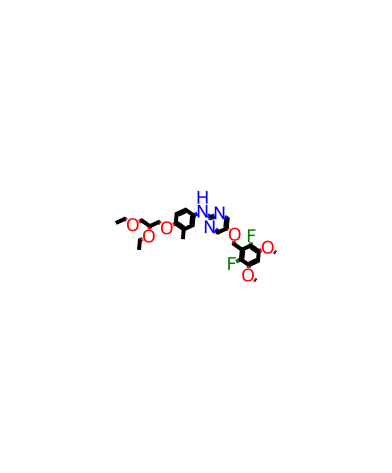 CCOCC(COc1ccc(Nc2ncc(OCc3c(F)c(OC)cc(OC)c3F)cn2)cc1C)OCC